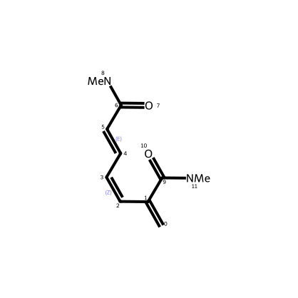 C=C(/C=C\C=C\C(=O)NC)C(=O)NC